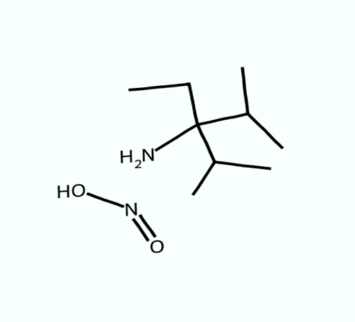 CCC(N)(C(C)C)C(C)C.O=NO